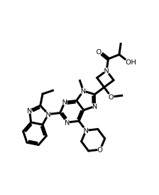 CCc1nc2ccccc2n1-c1nc(N2CCOCC2)c2nc(C3(OC)CN(C(=O)C(C)O)C3)n(C)c2n1